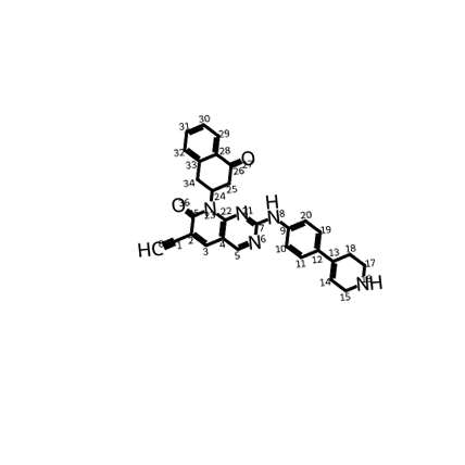 C#Cc1cc2cnc(Nc3ccc(C4=CCNCC4)cc3)nc2n(C2CC(=O)c3ccccc3C2)c1=O